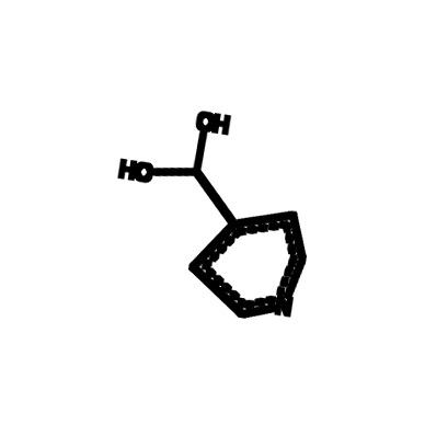 OC(O)c1ccncc1